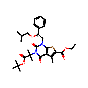 CCOC(=O)c1sc2c(c1C)c(=O)n(C(C)(C)C(=O)OC(C)(C)C)c(=O)n2C[C@@H](OCC(C)C)c1ccccc1